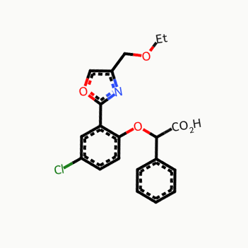 CCOCc1coc(-c2cc(Cl)ccc2OC(C(=O)O)c2ccccc2)n1